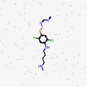 C=N/C=N\SSc1cc(Cl)c(NCCCCNC)cc1F